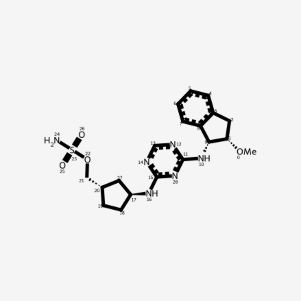 CO[C@H]1Cc2ccccc2[C@H]1Nc1ncnc(N[C@H]2CC[C@H](COS(N)(=O)=O)C2)n1